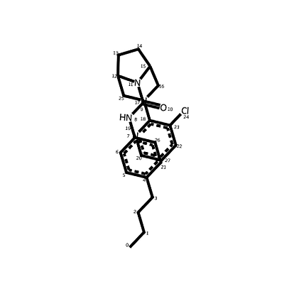 CCCCc1ccc(NC(=O)N2C3CCC2CN(c2ncccc2Cl)C3)cc1